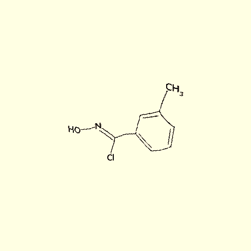 Cc1cccc(C(Cl)=NO)c1